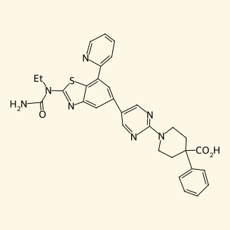 CCN(C(N)=O)c1nc2cc(-c3cnc(N4CCC(C(=O)O)(c5ccccc5)CC4)nc3)cc(-c3ccccn3)c2s1